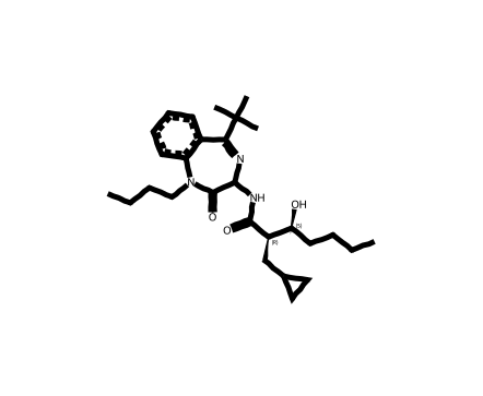 CCCC[C@H](O)[C@@H](CC1CC1)C(=O)NC1N=C(C(C)(C)C)c2ccccc2N(CCCC)C1=O